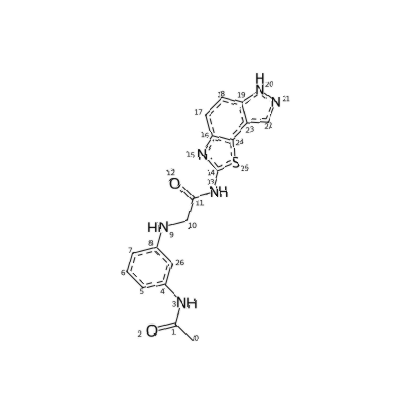 CC(=O)Nc1cccc(NCC(=O)Nc2nc3ccc4[nH]ncc4c3s2)c1